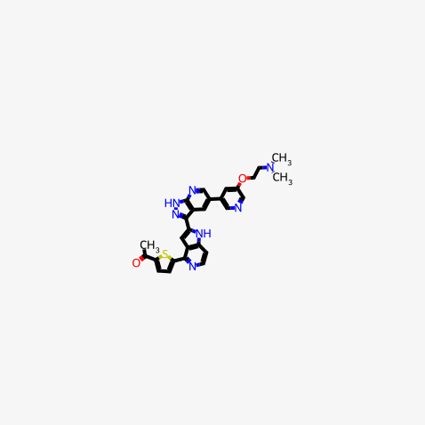 CC(=O)c1ccc(-c2nccc3[nH]c(-c4n[nH]c5ncc(-c6cncc(OCCN(C)C)c6)cc45)cc23)s1